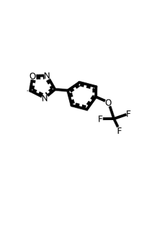 FC(F)(F)Oc1ccc(-c2n[c]on2)cc1